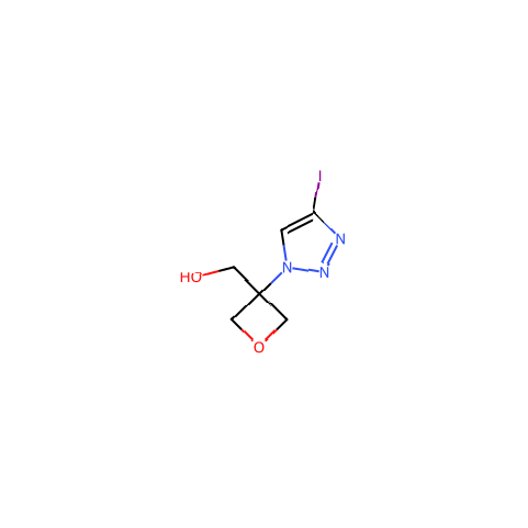 OCC1(n2cc(I)nn2)COC1